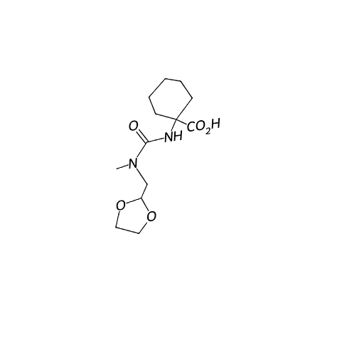 CN(CC1OCCO1)C(=O)NC1(C(=O)O)CCCCC1